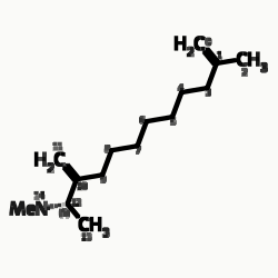 C=C(C)CCCCCCCC(=C)[C@H](C)NC